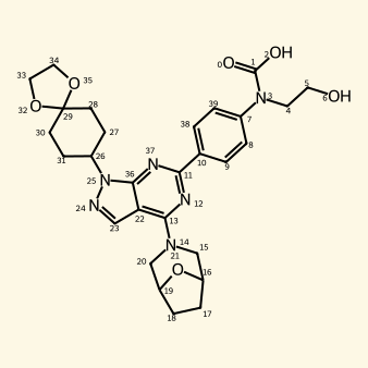 O=C(O)N(CCO)c1ccc(-c2nc(N3CC4CCC(C3)O4)c3cnn(C4CCC5(CC4)OCCO5)c3n2)cc1